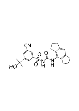 CC(C)(O)c1cc(C#N)cc(S(=O)(=O)NC(=O)Nc2c3c(cc4c2CCC4)CCC3)c1